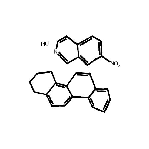 Cl.O=[N+]([O-])c1ccc2ccncc2c1.c1ccc2c(c1)ccc1c3c(ccc12)CCCC3